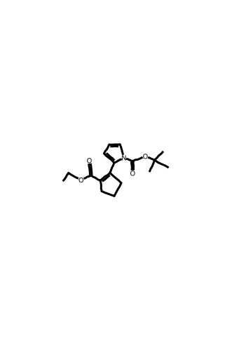 CCOC(=O)C1=C(c2cccn2C(=O)OC(C)(C)C)CCC1